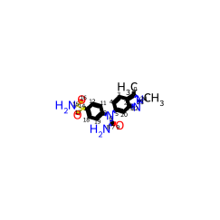 Cc1c2ccc(N(C(N)=O)c3ccc(S(N)(=O)=O)cc3)cc2nn1C